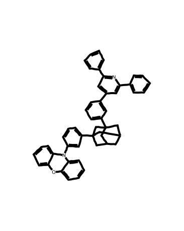 c1ccc(-c2cc(-c3cccc(C45CC6CC(C4)CC(c4cccc(N7c8ccccc8Oc8ccccc87)c4)(C6)C5)c3)cc(-c3ccccc3)n2)cc1